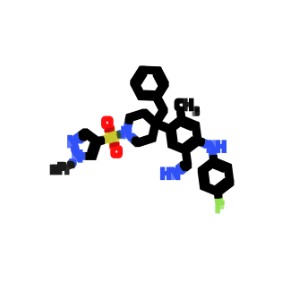 CCCn1cc(S(=O)(=O)N2CCC(Cc3ccccc3)(c3cc(C=N)c(Nc4ccc(F)cc4)cc3C)CC2)cn1